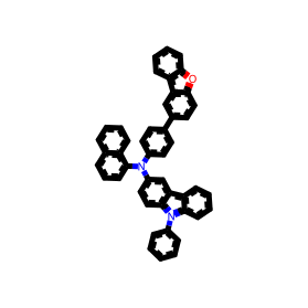 c1ccc(-n2c3ccccc3c3cc(N(c4ccc(-c5ccc6oc7ccccc7c6c5)cc4)c4cccc5ccccc45)ccc32)cc1